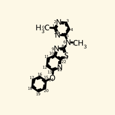 Cc1nccc(N(C)c2nc3ccc(Oc4ccccc4)nc3s2)n1